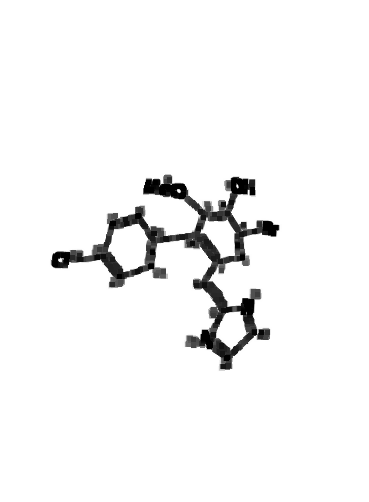 COc1c(O)c(Br)cc(C=C2N=CC=N2)c1-c1ccc(Cl)cc1